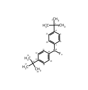 CC(C)(C)c1ccc(B(F)c2ccc(C(C)(C)C)cc2)cc1